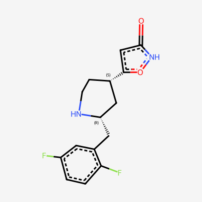 O=c1cc([C@H]2CCN[C@@H](Cc3cc(F)ccc3F)C2)o[nH]1